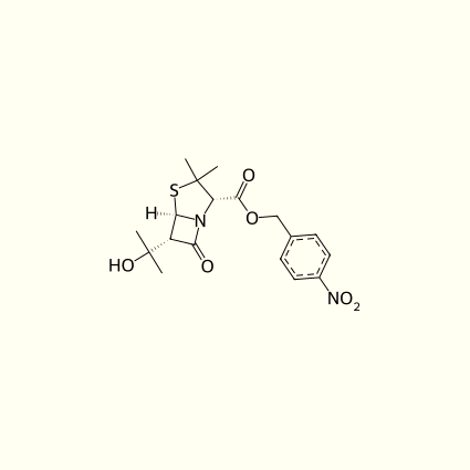 CC(C)(O)[C@H]1C(=O)N2[C@@H]1SC(C)(C)[C@@H]2C(=O)OCc1ccc([N+](=O)[O-])cc1